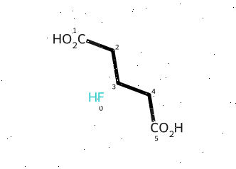 F.O=C(O)CCCC(=O)O